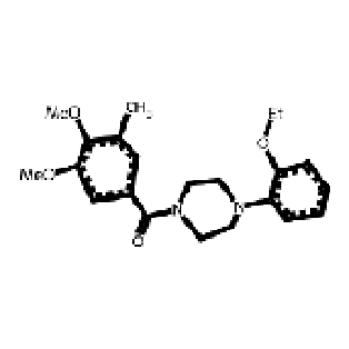 CCOc1ccccc1N1CCN(C(=O)c2cc(C)c(OC)c(OC)c2)CC1